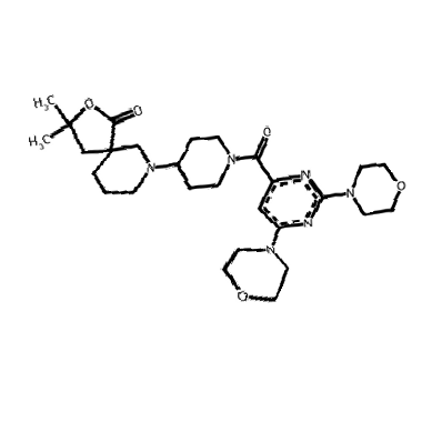 CC1(C)CC2(CCCN(C3CCN(C(=O)c4cc(N5CCOCC5)nc(N5CCOCC5)n4)CC3)C2)C(=O)O1